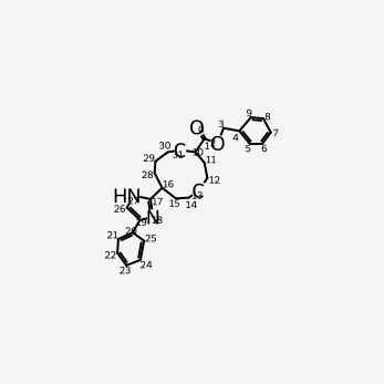 O=C(OCc1ccccc1)C1CCCCCC(c2nc(-c3ccccc3)c[nH]2)CCCC1